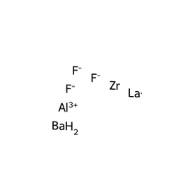 [Al+3].[BaH2].[F-].[F-].[F-].[La].[Zr]